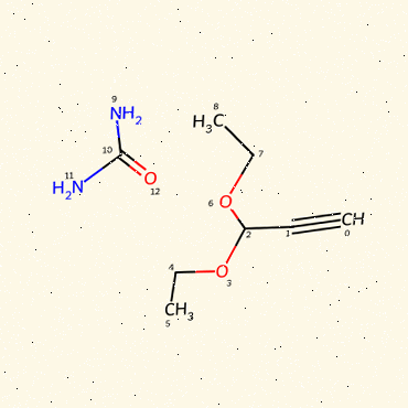 C#CC(OCC)OCC.NC(N)=O